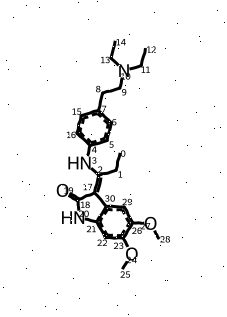 CC/C(Nc1ccc(CCN(CC)CC)cc1)=C1/C(=O)Nc2cc(OC)c(OC)cc21